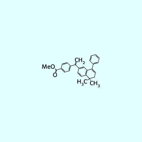 C=C(c1ccc(C(=O)OC)cc1)c1ccc2c(c1)C(c1ccccc1)=CCC2(C)C